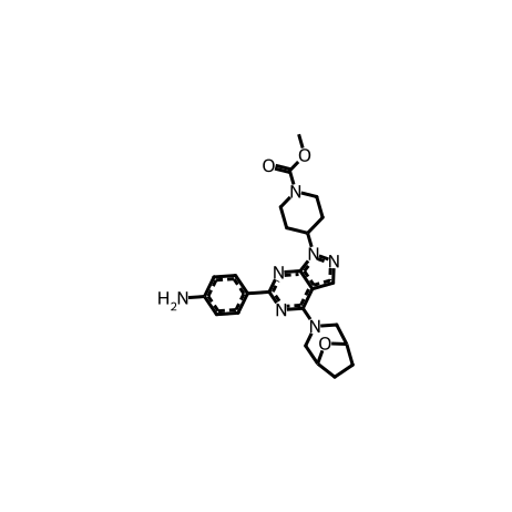 COC(=O)N1CCC(n2ncc3c(N4CC5CCC(C4)O5)nc(-c4ccc(N)cc4)nc32)CC1